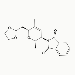 CC1=C[C@@H](N2C(=O)c3ccccc3C2=O)[C@@H](C)O[C@H]1CC1OCCO1